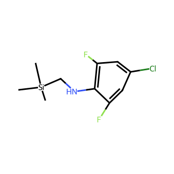 C[Si](C)(C)CNc1c(F)cc(Cl)cc1F